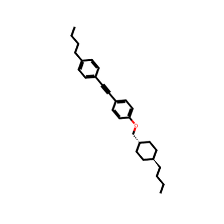 CCCCc1ccc(C#Cc2ccc(OC[C@H]3CC[C@H](CCCC)CC3)cc2)cc1